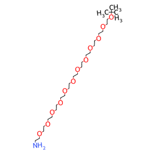 CC(C)(C)OCCOCCOCCOCCOCCOCCOCCOCCOCCOCCOCCOCCN